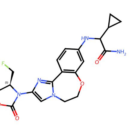 NC(=O)C(Nc1ccc2c(c1)OCCn1cc(N3C(=O)OC[C@H]3CF)nc1-2)C1CC1